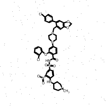 CN1CCC(Nc2ccc(S(=O)(=O)NC(=O)c3ccc(N4CCN(Cc5cc6c(cc5-c5ccc(Cl)cc5)OCO6)CC4)cc3Oc3ccccc3Cl)cc2[N+](=O)[O-])CC1